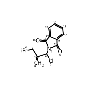 C=C(CC(C)C)C(Cl)N1C(=O)c2ccccc2C1=O